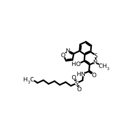 CCCCCCCCS(=O)(=O)CNC(=O)C1=C(O)c2c(cccc2-c2ccon2)SN1C